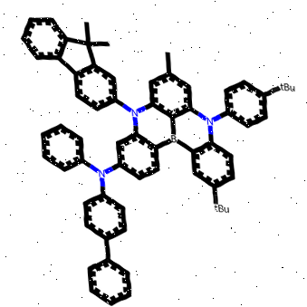 Cc1cc2c3c(c1)N(c1ccc4c(c1)C(C)(C)c1ccccc1-4)c1cc(N(c4ccccc4)c4ccc(-c5ccccc5)cc4)ccc1B3c1cc(C(C)(C)C)ccc1N2c1ccc(C(C)(C)C)cc1